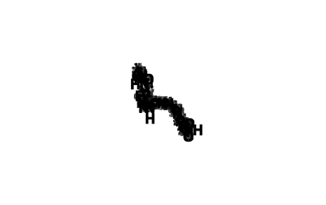 Cc1c([C@@H](C)NC(=O)c2noc(C(C)(C)C)n2)ccc(-c2ncnc3[nH]c4cc(N5CCN(CC6CCN(c7ccc(N8CCC(=O)NC8=O)cc7)CC6)CC5)ccc4c23)c1F